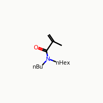 C=C(C)C(=O)N(CCCC)CCCCCC